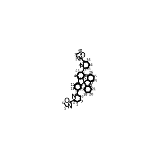 c1cc(C2=NCCO2)nc(-c2ccc3c(c2)C2(c4ccccc4-c4ccccc42)c2cc(-c4cccc(C5=NCCO5)n4)ccc2-3)c1